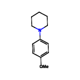 COc1ccc(N2CCCCC2)cc1